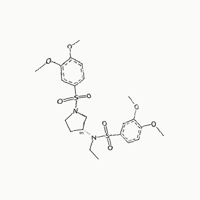 CCN([C@@H]1CCN(S(=O)(=O)c2ccc(OC)c(OC)c2)C1)S(=O)(=O)c1ccc(OC)c(OC)c1